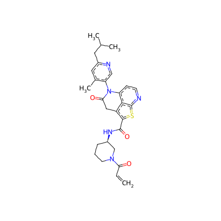 C=CC(=O)N1CCC[C@@H](NC(=O)c2sc3nccc4c3c2CC(=O)N4c2cnc(CC(C)C)cc2C)C1